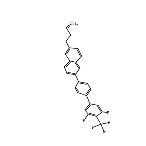 C=CCCc1ccc2cc(-c3ccc(-c4cc(F)c(C(F)(F)F)c(F)c4)cc3)ccc2c1